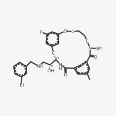 CCCN1CCCCOc2cc(F)cc(c2)C[C@@H]([C@H](O)CNCc2cccc(CC)c2)NC(=O)c2cc(C)cc(c2)C1=O